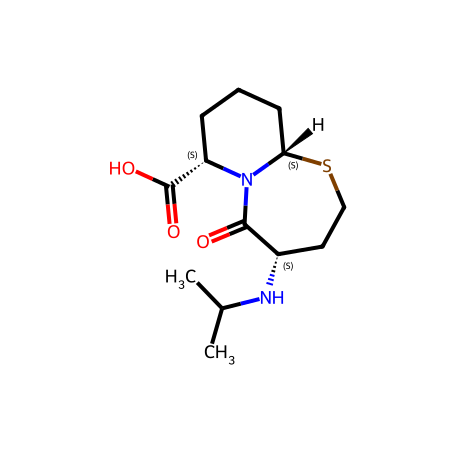 CC(C)N[C@H]1CCS[C@H]2CCC[C@@H](C(=O)O)N2C1=O